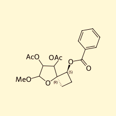 COC1O[C@@]2(CC[C@@H]2OC(=O)c2ccccc2)C(OC(C)=O)C1OC(C)=O